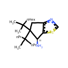 CCCCCCC(C)(C)C1(C(C)(CCC)CCC)Cc2ncsc2[C@H]1N